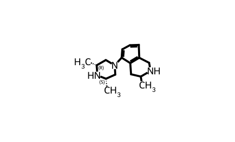 CC1Cc2c(cccc2N2C[C@@H](C)N[C@@H](C)C2)CN1